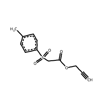 C#CCOC(=O)CS(=O)(=O)c1ccc(C)cc1